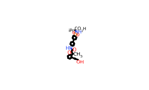 Cc1c(C(=O)Nc2ccc(-c3ccc(S(=O)(=O)NC(C(=O)O)C(C)C)cc3)cc2)oc2cccc(C#CCO)c12